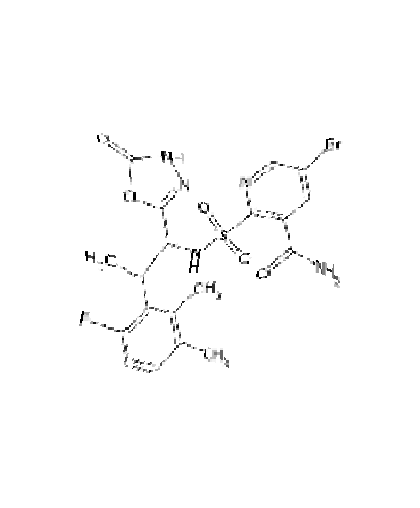 Cc1ccc(F)c(C(C)C(NS(=O)(=O)c2ncc(Br)cc2C(N)=O)c2n[nH]c(=O)o2)c1C